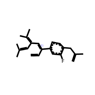 C=C/C(=C\C(C=C(C)C)=C(C)C)c1ccc(CC(=C)C)c(F)c1